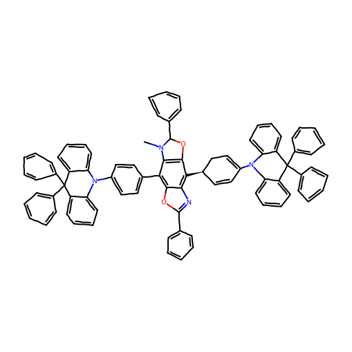 CN1c2c(c([C@@H]3C=CC(N4c5ccccc5C(c5ccccc5)(c5ccccc5)c5ccccc54)=CC3)c3nc(-c4ccccc4)oc3c2-c2ccc(N3c4ccccc4C(c4ccccc4)(c4ccccc4)c4ccccc43)cc2)OC1c1ccccc1